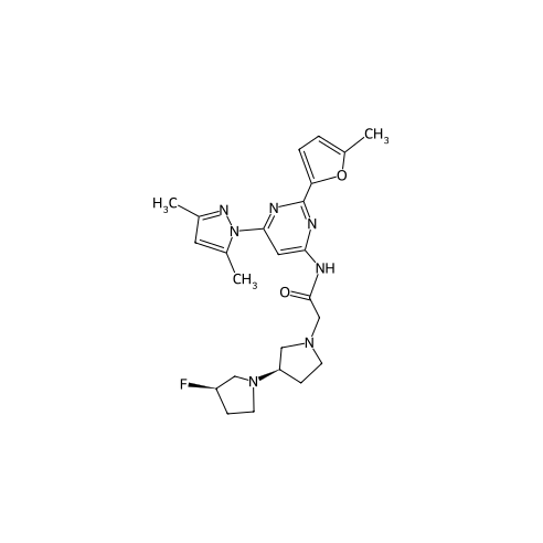 Cc1cc(C)n(-c2cc(NC(=O)CN3CC[C@@H](N4CC[C@@H](F)C4)C3)nc(-c3ccc(C)o3)n2)n1